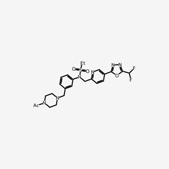 CCS(=O)(=O)N(Cc1ccc(-c2nnc(C(F)F)o2)cn1)c1cccc(CN2CCN(C(C)=O)CC2)c1